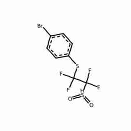 O=[SH](=O)C(F)(F)C(F)(F)Sc1ccc(Br)cc1